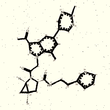 CC(=O)c1nn(CC(=O)N2[C@H](C(=O)NCCc3cccnc3)C[C@@]3(C)C[C@@H]23)c2c(C)cc(-c3cnc(C)nc3)cc12